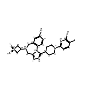 Cc1ccc(N2CCC(c3nnc4n3-c3ccc(Cl)cc3CN(C3CS(=O)(=O)C3)C4)CC2)nc1F